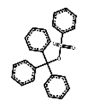 O=S(=O)(OC(c1ccccc1)(c1ccccc1)c1ccccc1)c1ccccc1